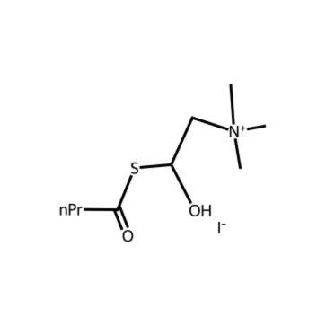 CCCC(=O)SC(O)C[N+](C)(C)C.[I-]